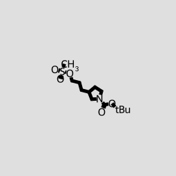 CC(C)(C)OC(=O)N1CCC(CCCOS(C)(=O)=O)C1